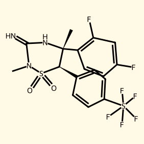 CN1C(=N)N[C@](C)(c2ccc(F)cc2F)[C@@H](c2ccc(S(F)(F)(F)(F)F)cc2)S1(=O)=O